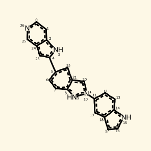 c1cc2[nH]c(-c3ccc4[nH][n+](-c5ccc6[nH]ccc6c5)cc4c3)cc2cn1